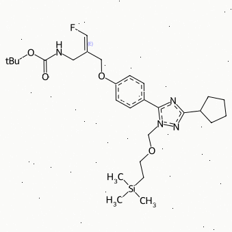 CC(C)(C)OC(=O)NC/C(=C\F)COc1ccc(-c2nc(C3CCCC3)nn2COCC[Si](C)(C)C)cc1